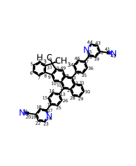 CC1(C)c2ccccc2-c2cc3c(-c4ccc(-c5cc(C#N)ccn5)cc4)c4ccccc4c(-c4ccc(-c5cc(C#N)ccn5)cc4)c3cc21